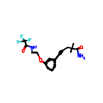 CC(C)(CC#Cc1cccc(OCCNC(=O)C(F)(F)F)c1)C(N)=O